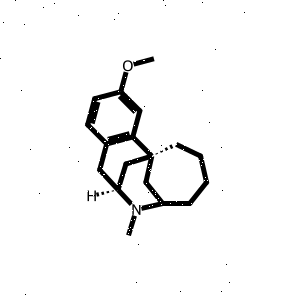 COc1ccc2c(c1)[C@@]13CCCCC(C1)N(C)[C@@H](C2)C3